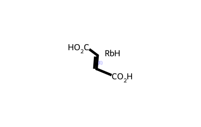 O=C(O)/C=C/C(=O)O.[RbH]